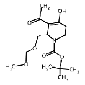 COCOC[C@@H]1C(C(C)=O)=C(O)CCN1C(=O)OC(C)(C)C